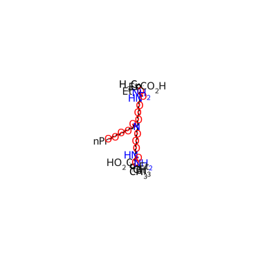 CCCOCCOCCOCCOCCC(=O)N(CCOCCOCCOCCNC(=O)CO[C@H]1[C@@H]([C@H](N)C(CC)CC)[C@H](C)C[C@@H]1C(=O)O)CCOCCOCCOCCNC(=O)CO[C@@H]1[C@@H](C(=O)O)C[C@@H](C)[C@]1(C)[C@H](N)C(CC)CC